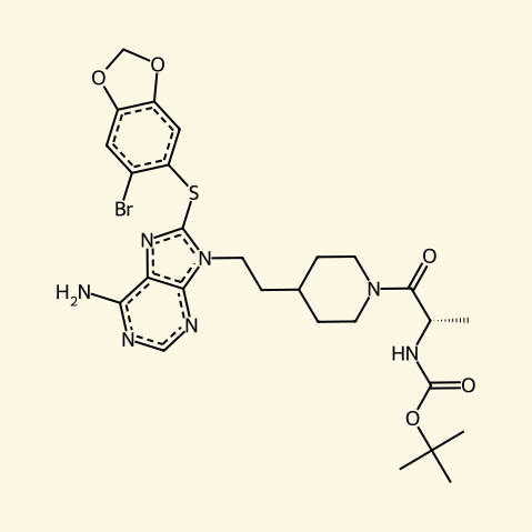 C[C@H](NC(=O)OC(C)(C)C)C(=O)N1CCC(CCn2c(Sc3cc4c(cc3Br)OCO4)nc3c(N)ncnc32)CC1